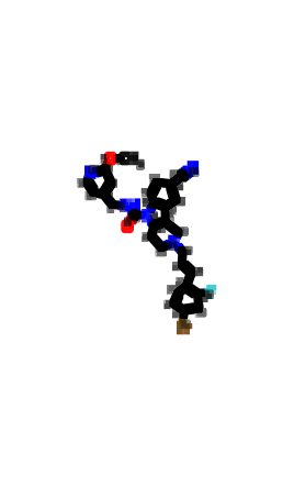 COc1cc(CNC(=O)n2c3c(c4cc(C#N)ccc42)CN(CC=Cc2ccc(Br)cc2F)CC3)ccn1